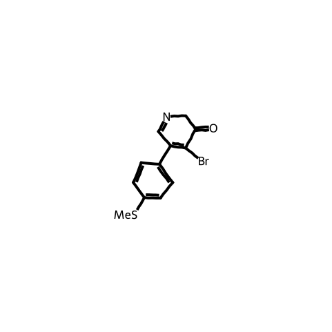 CSc1ccc(C2=C(Br)C(=O)CN=C2)cc1